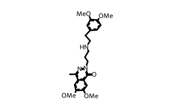 COc1ccc(CCNCCCn2nc(C)c3cc(OC)c(OC)cc3c2=O)cc1OC